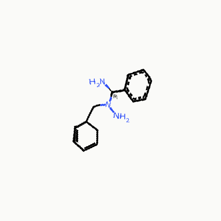 N[C@@H](c1ccccc1)N(N)CC1C=CC=CC1